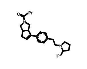 CC(C)C(=O)N1CC2CC=C(c3ccc(CCN4CCCC4C(C)C)cc3)C2C1